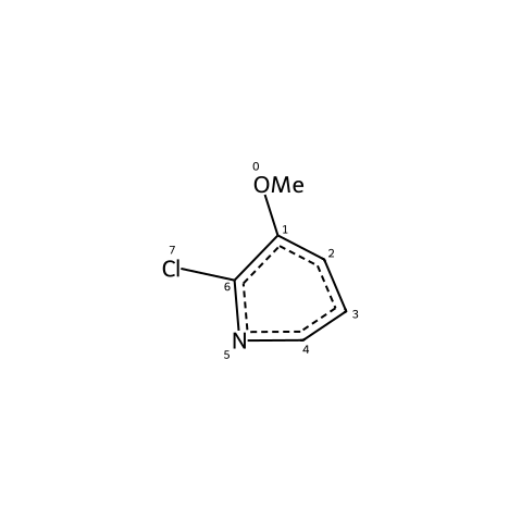 [CH2]Oc1cccnc1Cl